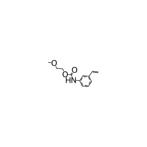 C=Cc1cccc(NC(=O)OCCOC)c1